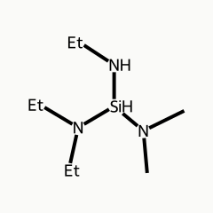 CCN[SiH](N(C)C)N(CC)CC